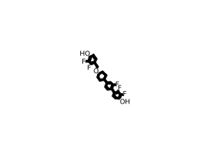 Oc1ccc(COC2CCC(c3ccc(-c4ccc(O)c(F)c4F)c(F)c3)CC2)c(F)c1F